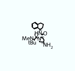 CNC(C(=O)N1C[C@@H](N)C[C@H]1C(=O)N[C@@H]1CCCc2ccccc21)C(C)(C)C